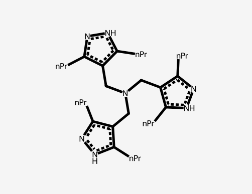 CCCc1n[nH]c(CCC)c1CN(Cc1c(CCC)n[nH]c1CCC)Cc1c(CCC)n[nH]c1CCC